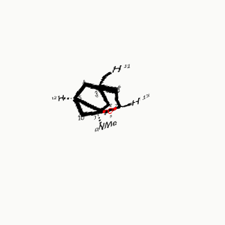 CN[C@]12C[C@@H]3C[C@@H](C[C@H](C3)O1)C2